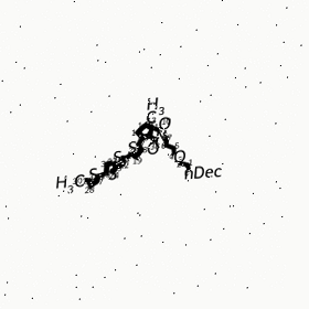 CCCCCCCCCCCCOCCCCN1C(=O)c2c(C)ccc(-c3ccc(-c4cc5sc(-c6ccc(C)s6)cc5s4)s3)c2C1=O